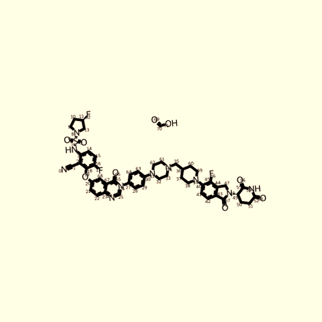 N#Cc1c(NS(=O)(=O)N2CC[C@@H](F)C2)ccc(F)c1Oc1ccc2ncn(-c3ccc(N4CCN(CC5CCN(c6ccc7c(c6F)CN([C@H]6CCC(=O)NC6=O)C7=O)CC5)CC4)cc3)c(=O)c2c1.O=CO